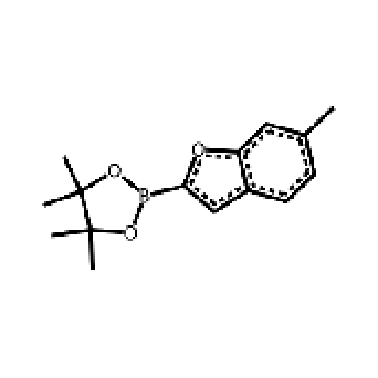 Cc1ccc2cc(B3OC(C)(C)C(C)(C)O3)oc2c1